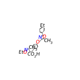 CCO/N=C(/C)C(Cc1ccc(OCc2nc(-c3ccc(CC)cc3)oc2C)cc1)C(=O)O